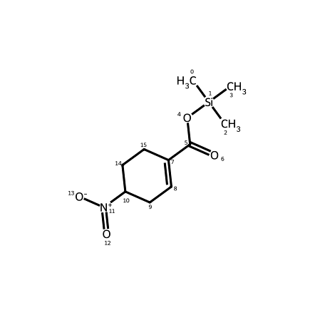 C[Si](C)(C)OC(=O)C1=CCC([N+](=O)[O-])CC1